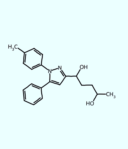 Cc1ccc(-n2nc(C(O)CCC(C)O)cc2-c2ccccc2)cc1